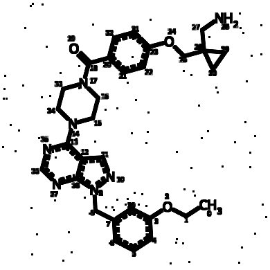 CCOc1cccc(Cn2ncc3c(N4CCN(C(=O)c5ccc(OCC6(CN)CC6)cc5)CC4)ncnc32)c1